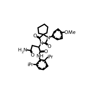 COc1ccc(N2C(=O)N(C(CC(N)=O)C(=O)Nc3c(C(C)C)cccc3C(C)C)C(=O)C23CCCCC3)cc1